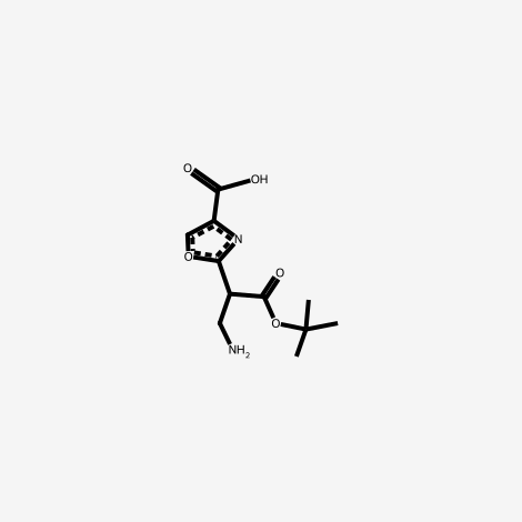 CC(C)(C)OC(=O)C(CN)c1nc(C(=O)O)co1